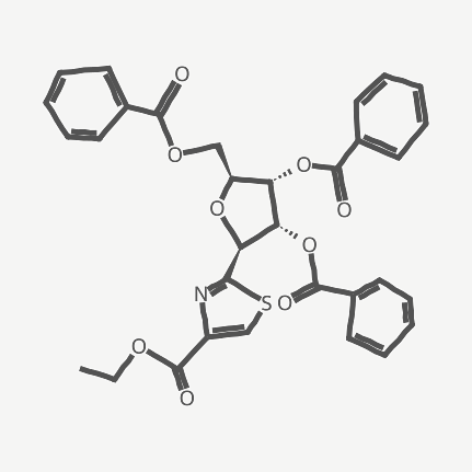 CCOC(=O)c1csc([C@H]2O[C@@H](COC(=O)c3ccccc3)[C@H](OC(=O)c3ccccc3)[C@@H]2OC(=O)c2ccccc2)n1